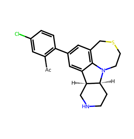 CC(=O)c1cc(Cl)ccc1-c1cc2c3c(c1)[C@@H]1CNCC[C@@H]1N3CCSC2